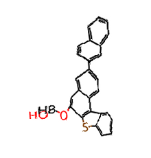 OBOc1cc2cc(-c3ccc4ccccc4c3)ccc2c2c1sc1ccccc12